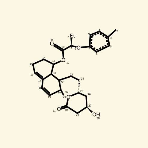 CC[C@@H](Oc1ccc(C)cc1)C(=O)OC1CCC=C2C=CC(C)C(CC[C@@H]3C[C@@H](O)CC(=O)O3)C21